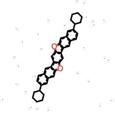 c1cc2cc3c(cc2cc1C1CCCCC1)oc1cc2c(cc13)oc1cc3cc(C4CCCCC4)ccc3cc12